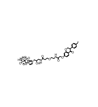 O=C(CCOCCNC(=O)COc1ccc2c(c1)OCC(c1ccc(F)cc1)C2=O)NCC(O)C[n+]1ccn(CC(O)(P(=O)(O)O)P(=O)(O)O)c1